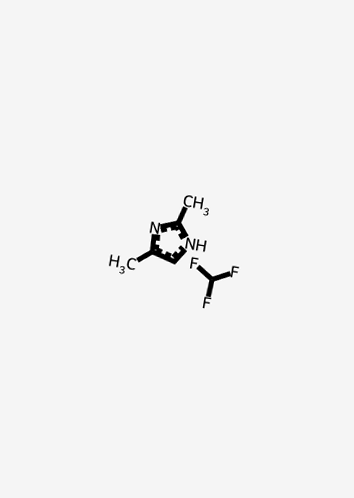 Cc1c[nH]c(C)n1.FC(F)F